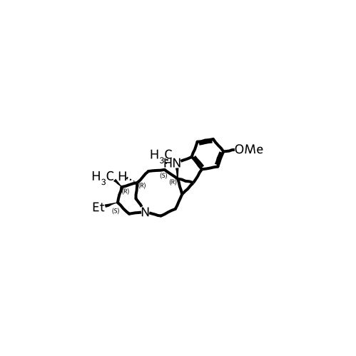 CC[C@@H]1CN2CCC3C4c5cc(OC)ccc5N[C@]34[C@@H](C)C[C@@H](C2)[C@@H]1C